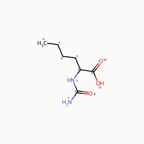 CCCCC(NC(N)=O)C(=O)O